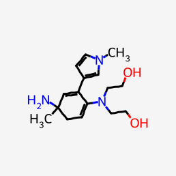 Cn1ccc(C2=CC(C)(N)CC=C2N(CCO)CCO)c1